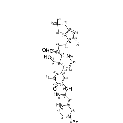 CC(=O)N1CCN/C(=C\C(=N)Nc2cc(-c3ccnc(N(C=O)CCc4c(C)sc5c4CC(C)(C)C5)c3CO)cn(C)c2=O)C1